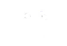 Cc1cc(OCCCC(=O)O)cc2c1nc(C)n2CCc1ccc(F)cc1F